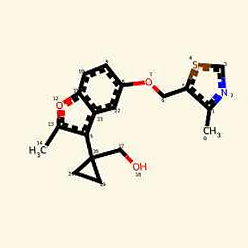 Cc1ncsc1COc1ccc2oc(C)c(C3(CO)CC3)c2c1